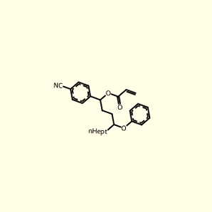 C=CC(=O)OC(CCC(CCCCCCC)Oc1ccccc1)c1ccc(C#N)cc1